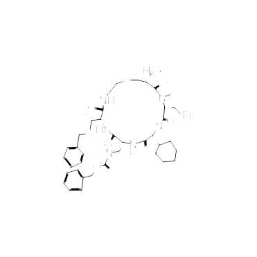 CCCCCC[C@H]1OC[C@@H](C)NC(=O)[C@H]([C@H](C)OCc2ccccc2)NC(=O)[C@H](CNC(=O)OCc2ccccc2)NC(=O)[C@H](C2CCCCC2)NC(=O)[C@H](CC(C)C)N(C)C(=O)[C@@H]1C